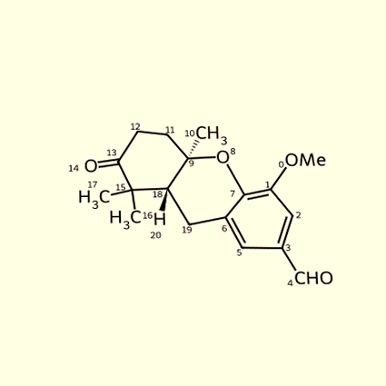 COc1cc(C=O)cc2c1O[C@]1(C)CCC(=O)C(C)(C)[C@H]1C2